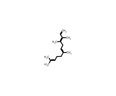 C=C/C(C)=C(\C)C/C=C(\C)CCC=C(C)C